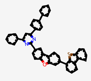 c1ccc(-c2ccc(-c3cc(-c4ccccc4)nc(-c4ccc5oc6cc(-c7cccc8c7sc7ccccc78)ccc6c5c4)n3)cc2)cc1